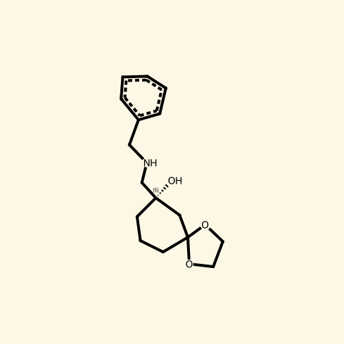 O[C@@]1(CNCc2ccccc2)CCCC2(C1)OCCO2